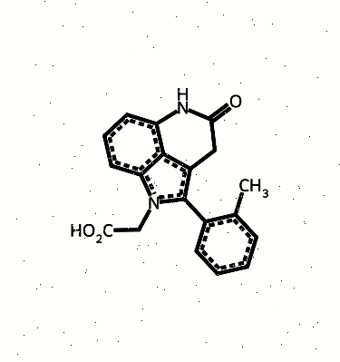 Cc1ccccc1-c1c2c3c(cccc3n1CC(=O)O)NC(=O)C2